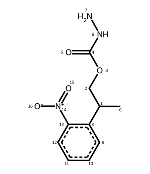 CC(COC(=O)NN)c1ccccc1[N+](=O)[O-]